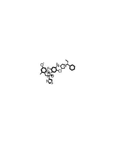 CC[C@@H](c1ccccc1)N1CC[C@H](N(C)c2cc(F)c(S(=O)(=O)N(Cc3ccc(OC)cc3C)c3cscn3)cc2Cl)C1